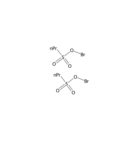 CCCS(=O)(=O)OBr.CCCS(=O)(=O)OBr